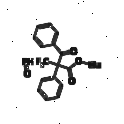 CC(C)(C)OC(=O)C(C(=O)c1ccccc1)(c1ccccc1)C(F)(F)F.O=P